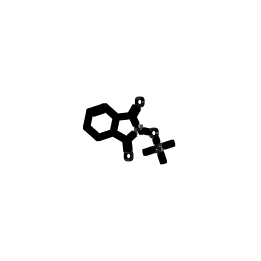 C[Si](C)(C)ON1C(=O)C2C=CCCC2C1=O